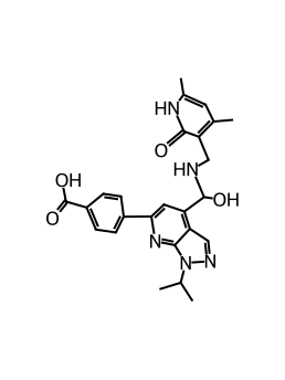 Cc1cc(C)c(CNC(O)c2cc(-c3ccc(C(=O)O)cc3)nc3c2cnn3C(C)C)c(=O)[nH]1